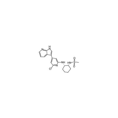 CS(=O)(=O)N[C@@H]1CCCC[C@@H]1Nc1cc(-c2c[nH]c3ncccc23)cc(Cl)n1